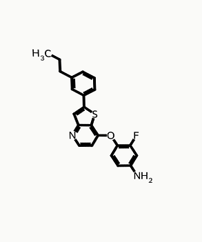 CCCc1cccc(-c2cc3nccc(Oc4ccc(N)cc4F)c3s2)c1